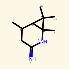 CC1CC(=N)NC2(C)C1C2(C)C